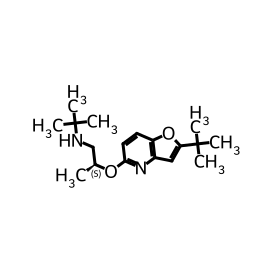 C[C@@H](CNC(C)(C)C)Oc1ccc2oc(C(C)(C)C)cc2n1